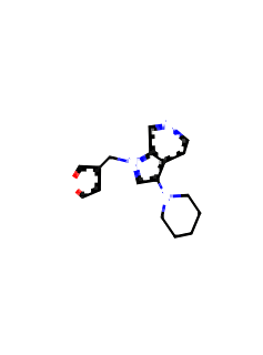 c1cc2c(N3CCCCC3)cn(Cc3ccoc3)c2cn1